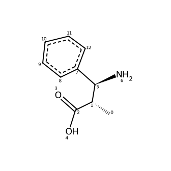 C[C@H](C(=O)O)[C@H](N)c1ccccc1